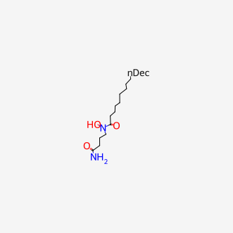 CCCCCCCCCCCCCCCCCCC(=O)N(O)CCCC(N)=O